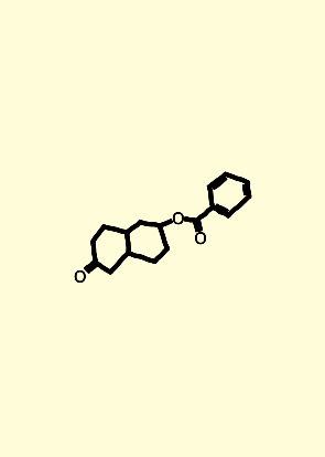 O=C1CCC2CC(OC(=O)c3ccccc3)CCC2C1